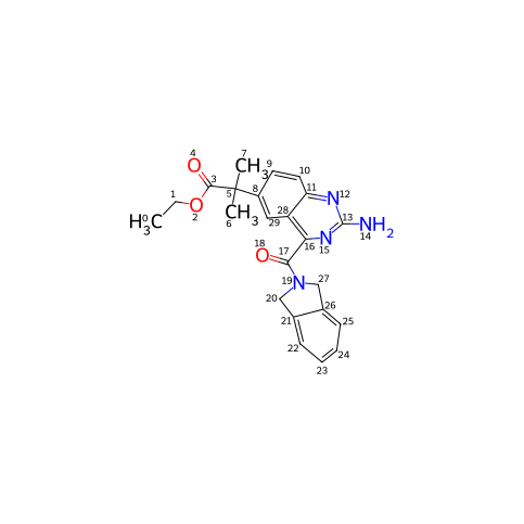 CCOC(=O)C(C)(C)c1ccc2nc(N)nc(C(=O)N3Cc4ccccc4C3)c2c1